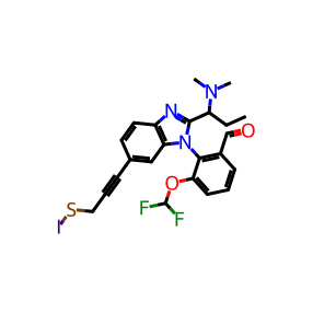 CCC(c1nc2ccc(C#CCSI)cc2n1-c1c(C=O)cccc1OC(F)F)N(C)C